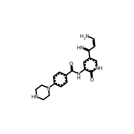 N=C(/C=C\N)c1c[nH]c(=O)c(NC(=O)c2ccc(N3CCNCC3)cc2)c1